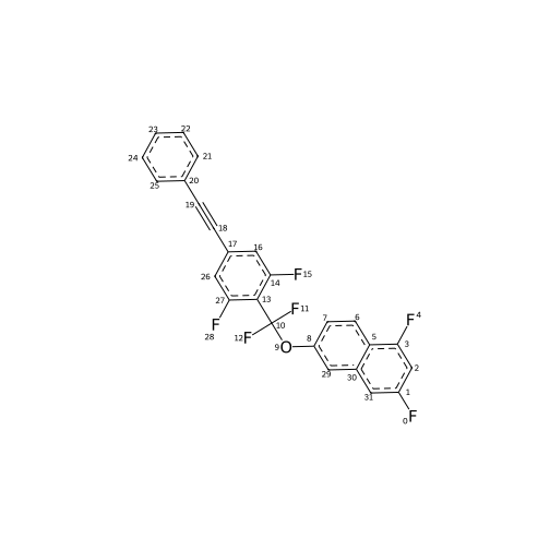 Fc1cc(F)c2ccc(OC(F)(F)c3c(F)cc(C#Cc4ccccc4)cc3F)cc2c1